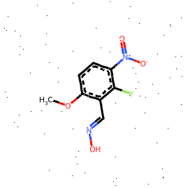 COc1ccc([N+](=O)[O-])c(F)c1C=NO